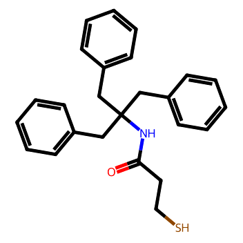 O=C(CCS)NC(Cc1ccccc1)(Cc1ccccc1)Cc1ccccc1